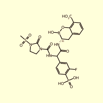 CS(=O)(=O)N1CCN(C(=O)NC(C(=O)N[C@H]2Cc3cccc(C(=O)O)c3OB2O)c2ccc(P(=O)(O)O)c(F)c2)C1=O